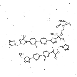 COC(=O)N(C)CCOC(C)(C(=O)O)[C@@H]1CC(c2ccc(-c3ccc(N4C[C@H](Cn5ccnn5)OC4=O)cc3F)cn2)=NO1.O=C1O[C@@H](Cn2ccnn2)CN1c1ccc(-c2ccc(C3=NO[C@H](CO)C3)nc2)c(F)c1